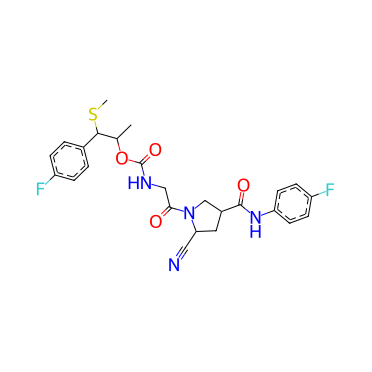 CSC(c1ccc(F)cc1)C(C)OC(=O)NCC(=O)N1CC(C(=O)Nc2ccc(F)cc2)CC1C#N